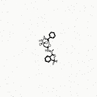 CN(NS(=O)(=O)CC(=O)NN(C)C(=S)c1ccccc1C(F)(F)F)C(=S)c1ccccc1